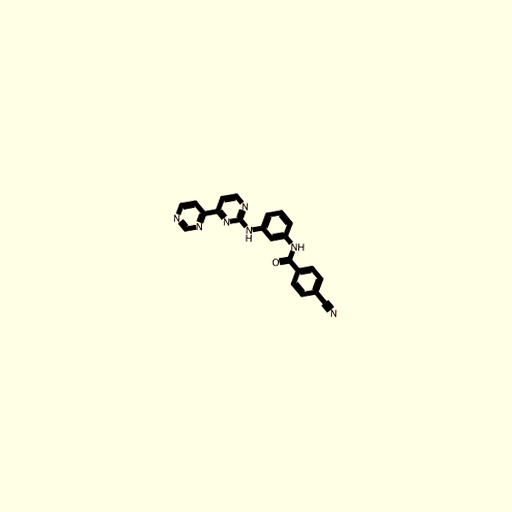 N#Cc1ccc(C(=O)Nc2cccc(Nc3nccc(-c4ccncn4)n3)c2)cc1